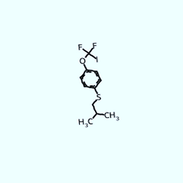 CC(C)CSc1ccc(OC(F)(F)I)cc1